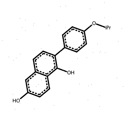 CC(C)Oc1ccc(-c2ccc3cc(O)ccc3c2O)cc1